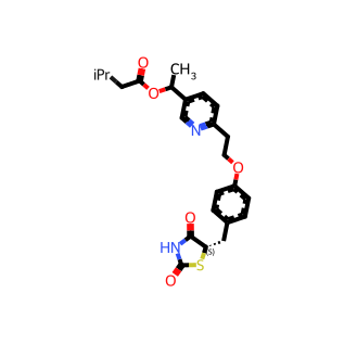 CC(C)CC(=O)OC(C)c1ccc(CCOc2ccc(C[C@@H]3SC(=O)NC3=O)cc2)nc1